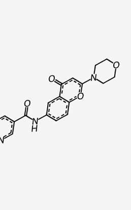 O=C(Nc1ccc2oc(N3CCOCC3)cc(=O)c2c1)c1cccnc1